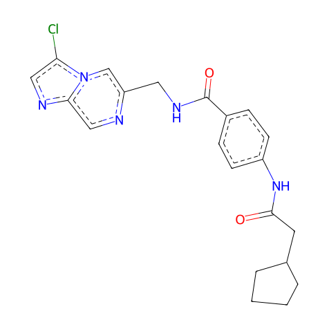 O=C(CC1CCCC1)Nc1ccc(C(=O)NCc2cn3c(Cl)cnc3cn2)cc1